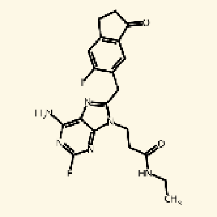 CCNC(=O)CCn1c(Cc2cc3c(cc2I)CCC3=O)nc2c(N)nc(F)nc21